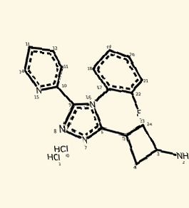 Cl.Cl.NC1CC(c2nnc(-c3ccccn3)n2-c2ccccc2F)C1